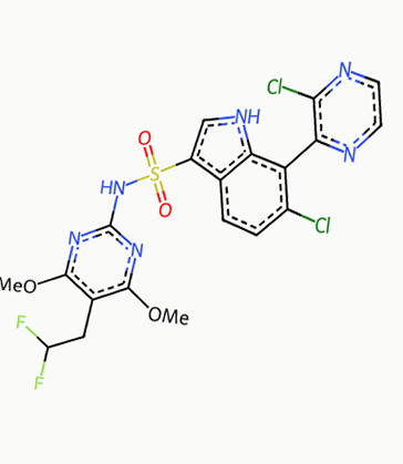 COc1nc(NS(=O)(=O)c2c[nH]c3c(-c4nccnc4Cl)c(Cl)ccc23)nc(OC)c1CC(F)F